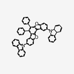 C1=CC2c3ccccc3N(c3ccc4oc5c(-c6ccccc6)c(-c6ccccc6)c6c7cc(-n8c9ccccc9c9ccccc98)ccc7oc6c5c4c3)C2C=C1